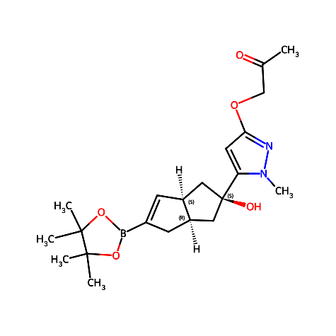 CC(=O)COc1cc([C@]2(O)C[C@H]3CC(B4OC(C)(C)C(C)(C)O4)=C[C@H]3C2)n(C)n1